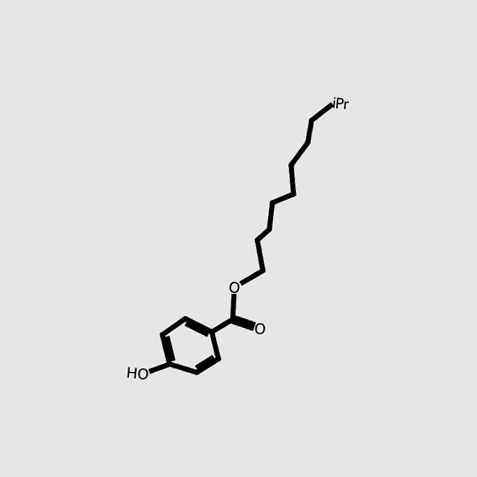 CC(C)CCCCCCCCOC(=O)c1ccc(O)cc1